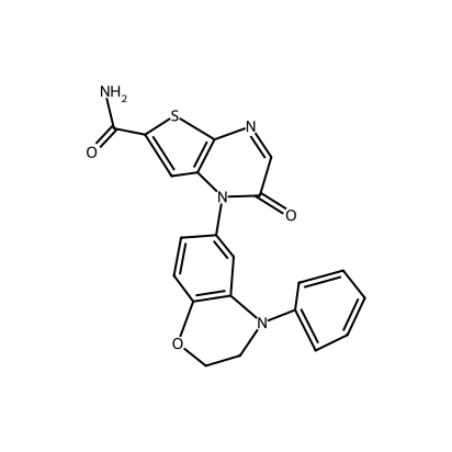 NC(=O)c1cc2c(ncc(=O)n2-c2ccc3c(c2)N(c2ccccc2)CCO3)s1